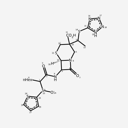 CCCCCCC(C(=O)NC1C(=O)N2CC(C(=O)O)(C(C)Sc3nnn[nH]3)CS[C@H]12)[S+]([O-])c1cccs1